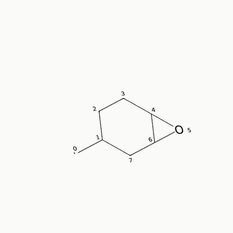 [CH2]C1CCC2OC2C1